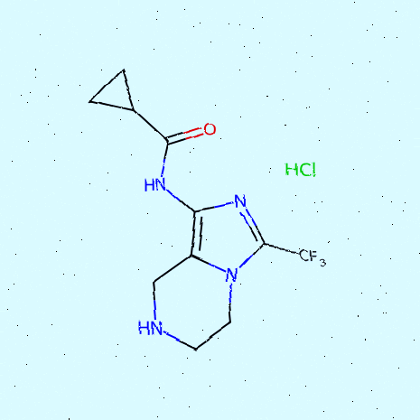 Cl.O=C(Nc1nc(C(F)(F)F)n2c1CNCC2)C1CC1